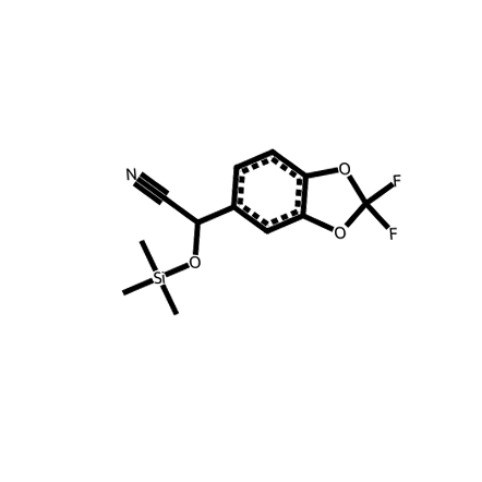 C[Si](C)(C)OC(C#N)c1ccc2c(c1)OC(F)(F)O2